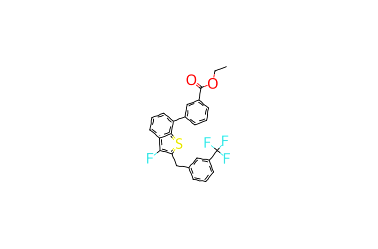 CCOC(=O)c1cccc(-c2cccc3c(F)c(Cc4cccc(C(F)(F)F)c4)sc23)c1